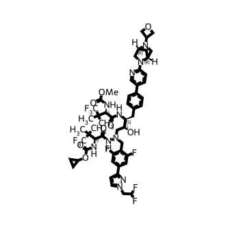 COC(=O)N[C@H](C(=O)N[C@@H](Cc1ccc(-c2ccc(N3C[C@H]4C[C@@H]3CN4C3COC3)nc2)cc1)[C@@H](O)CN(Cc1c(F)cc(-c2ccn(CC(F)F)n2)cc1F)NC(=O)[C@@H](NC(=O)OC1CC1)C(C)(C)C(F)(F)F)C(C)(C)C(F)(F)F